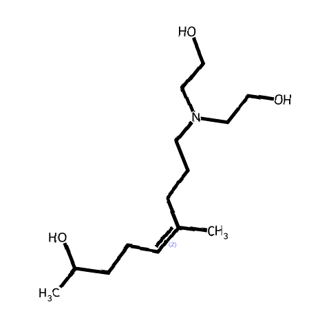 C/C(=C/CCC(C)O)CCCN(CCO)CCO